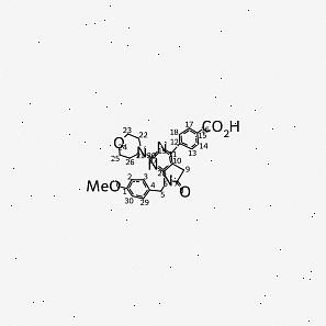 COc1ccc(CN2C(=O)Cc3c(-c4ccc(C(=O)O)cc4)nc(N4CCOCC4)nc32)cc1